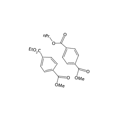 CCCOC(=O)c1ccc(C(=O)OC)cc1.CCOC(=O)c1ccc(C(=O)OC)cc1